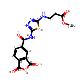 CC(C)(C)OC(=O)CCNc1nnc(NC(=O)c2ccc3c(c2)C(=O)OC3=O)s1